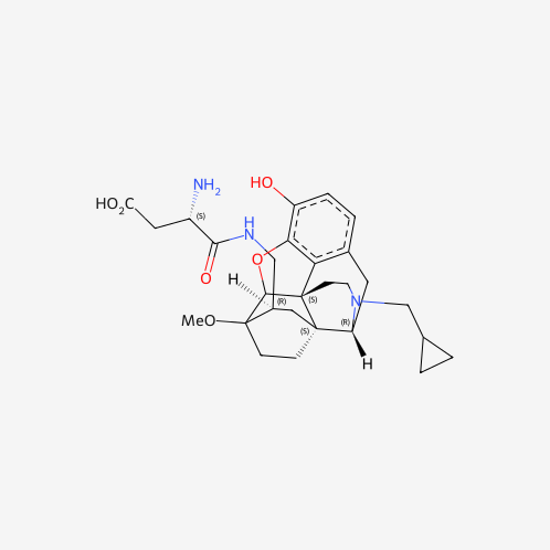 COC12CC[C@@]3(C[C@@H]1CNC(=O)[C@@H](N)CC(=O)O)[C@H]1Cc4ccc(O)c5c4[C@@]3(CCN1CC1CC1)C2O5